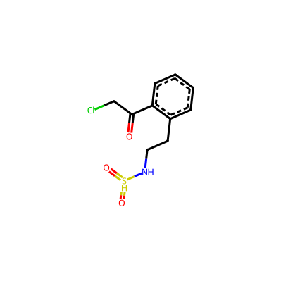 O=C(CCl)c1ccccc1CCN[SH](=O)=O